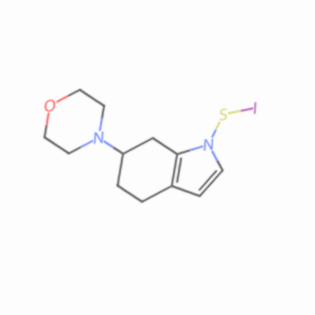 ISn1ccc2c1CC(N1CCOCC1)CC2